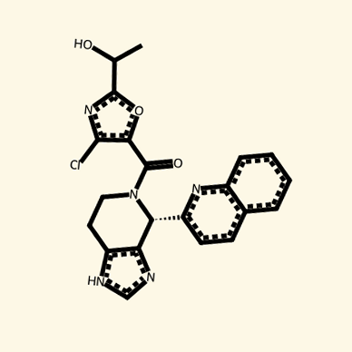 CC(O)c1nc(Cl)c(C(=O)N2CCc3[nH]cnc3[C@H]2c2ccc3ccccc3n2)o1